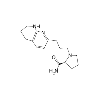 NC(=O)[C@@H]1CCCN1CCCc1ccc2c(n1)NCCC2